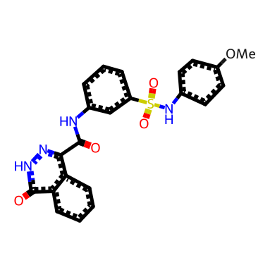 COc1ccc(NS(=O)(=O)c2cccc(NC(=O)c3n[nH]c(=O)c4ccccc34)c2)cc1